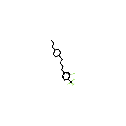 CCCC1CCC(CCCCc2ccc(C(F)(F)F)c(F)c2)CC1